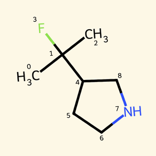 CC(C)(F)C1CCNC1